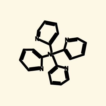 c1cc[c]([Ni]([c]2ccccn2)([c]2ccccn2)[c]2ccccn2)nc1